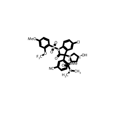 COc1ccc(S(=O)(=O)N2C(=O)C(c3cc(C#N)ccc3OC)(N3C[C@H](O)C[C@H]3C(=O)N(C)C)c3cc(Cl)ccc32)c(OC(F)(F)F)c1